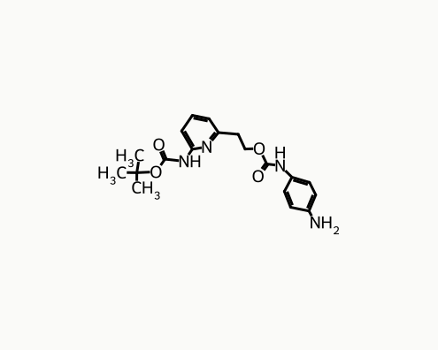 CC(C)(C)OC(=O)Nc1cccc(CCOC(=O)Nc2ccc(N)cc2)n1